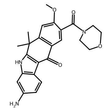 COc1cc2c(cc1C(=O)N1CCOCC1)C(=O)c1c([nH]c3cc(N)ccc13)C2(C)C